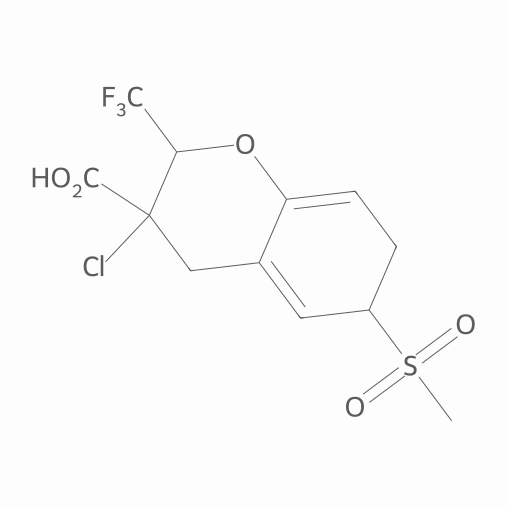 CS(=O)(=O)C1C=C2CC(Cl)(C(=O)O)C(C(F)(F)F)OC2=CC1